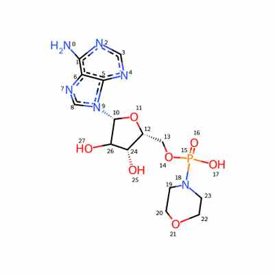 Nc1ncnc2c1ncn2[C@@H]1O[C@H](COP(=O)(O)N2CCOCC2)[C@H](O)C1O